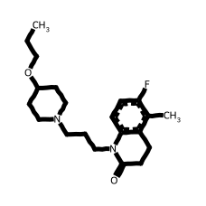 CCCOC1CCN(CCCN2C(=O)CCc3c2ccc(F)c3C)CC1